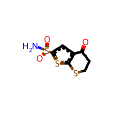 NS(=O)(=O)c1cc2c(s1)SCCC2=O